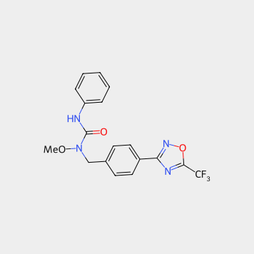 CON(Cc1ccc(-c2noc(C(F)(F)F)n2)cc1)C(=O)Nc1ccccc1